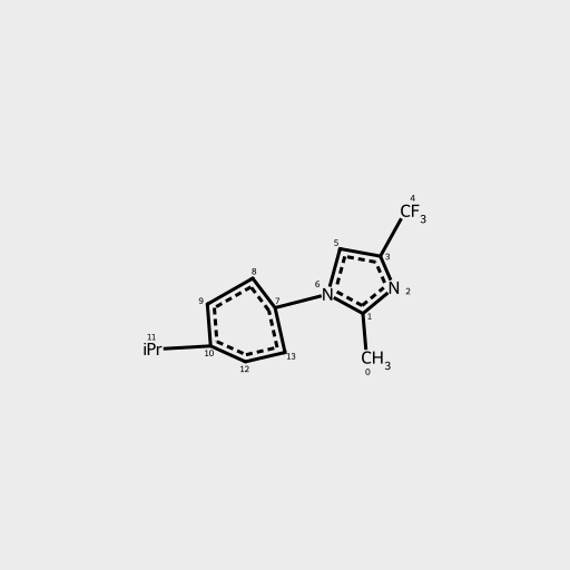 Cc1nc(C(F)(F)F)cn1-c1ccc(C(C)C)cc1